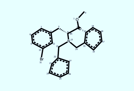 COC(=O)[C@@H](Cc1cccc(Br)c1)N(Cc1ccccc1)Cc1ccccc1